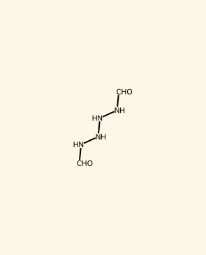 O=CNNNNC=O